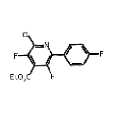 CCOC(=O)c1c(F)c(Cl)nc(-c2ccc(F)cc2)c1F